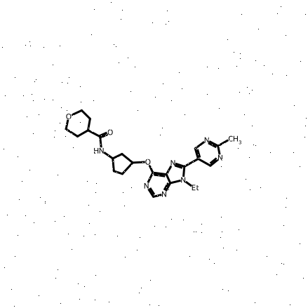 CCn1c(-c2cnc(C)nc2)nc2c(OC3CCC(NC(=O)C4CCOCC4)C3)ncnc21